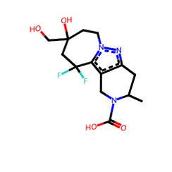 CC1Cc2nn3c(c2CN1C(=O)O)C(F)(F)CC(O)(CO)CC3